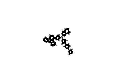 CC1(c2ccccc2)c2ccccc2-c2c(-c3ccc(N(c4ccc(-c5ccc(-c6ccccc6)cc5)cc4)c4ccc5ccccc5c4)cc3)cccc21